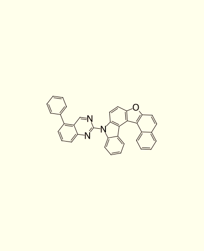 c1ccc(-c2cccc3nc(-n4c5ccccc5c5c6c(ccc54)oc4ccc5ccccc5c46)ncc23)cc1